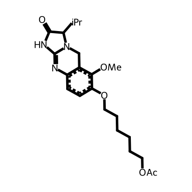 COc1c(OCCCCCCOC(C)=O)ccc2c1CN1C(=N2)NC(=O)C1C(C)C